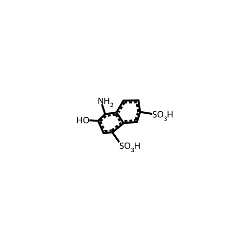 Nc1c(O)cc(S(=O)(=O)O)c2cc(S(=O)(=O)O)ccc12